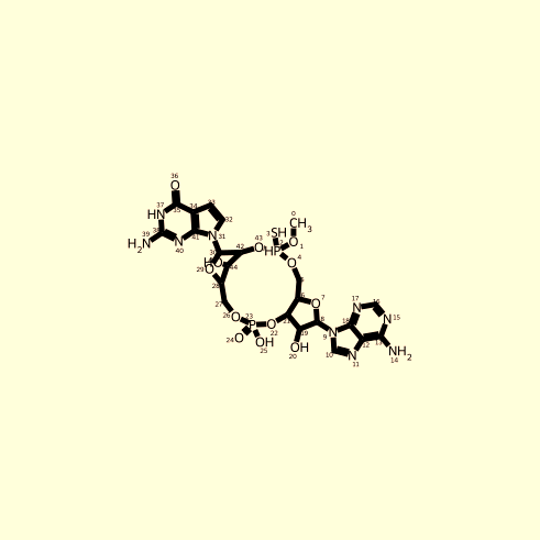 CO[PH]1(S)OCC2OC(n3cnc4c(N)ncnc43)C(O)C2OP(=O)(O)OCC2OC(n3ccc4c(=O)[nH]c(N)nc43)C(O1)C2O